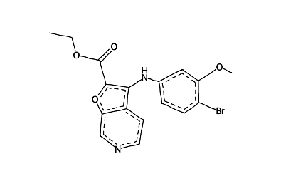 CCOC(=O)c1oc2cnccc2c1Nc1ccc(Br)c(OC)c1